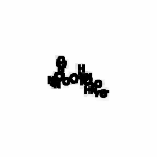 COCC(C)NC(=O)c1cnc(N[C@H]2CC[C@@H](Oc3cc(N4CCOCC4)cc4nccnc34)CC2)nc1